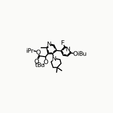 Cc1ncc(-c2ccc(OCC(C)C)nc2F)c(N2CCC(C)(C)CC2)c1C(OC(C)(C)C)C(=O)OC(C)C